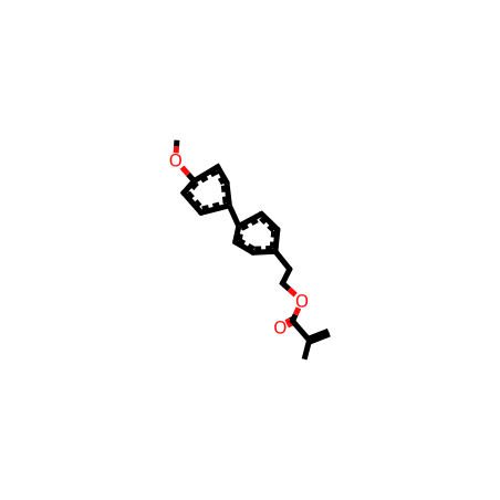 C=C(C)C(=O)OCCc1ccc(-c2ccc(OC)cc2)cc1